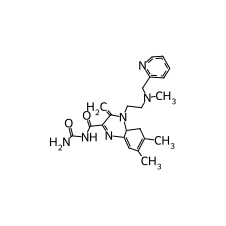 C=C1C(C(=O)NC(N)=O)=NC2=CC(C)=C(C)CC2N1CCN(C)Cc1ccccn1